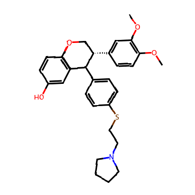 COc1ccc([C@H]2COc3ccc(O)cc3C2c2ccc(SCCN3CCCC3)cc2)cc1OC